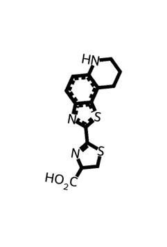 O=C(O)C1CSC(c2nc3ccc4c(c3s2)CCCN4)=N1